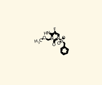 COCn1c(=N)c(F)cn(S(=O)(=O)Cc2ccccc2)c1=O